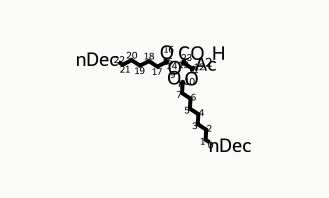 CCCCCCCCCCCCCCCCCC(=O)OC(C(C)=O)C(OC(=O)CCCCCCCCCCCCCCC)C(=O)O